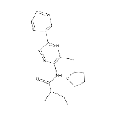 CCC(C)C(=O)Nc1ncc(-c2ccccc2)nc1CC1CCCC1